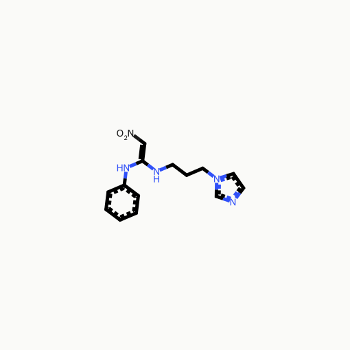 O=[N+]([O-])/C=C(/NCCCn1ccnc1)Nc1ccccc1